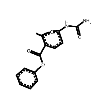 Cc1cc(NC(N)=O)ccc1C(=O)Oc1ccccc1